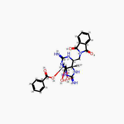 N=C1N[C@H]2[C@H](CN3C(=O)c4ccccc4C3=O)NC(=N)N3C[C@H](OC(=O)c4ccccc4)C(O)(O)[C@]23N1